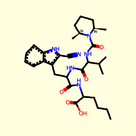 CCCCC(NC(=O)C(Cc1c(C#N)[nH]c2ccccc12)NC(=O)C(NC(=O)N1[C@H](C)CCC[C@@H]1C)C(C)C)C(=O)O